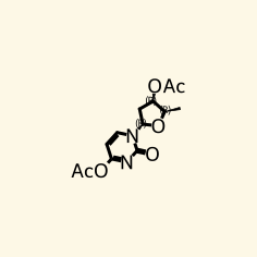 CC(=O)Oc1ccn([C@H]2C[C@@H](OC(C)=O)[C@@H](C)O2)c(=O)n1